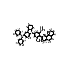 Cc1cc(-n2c3ccccc3c3cc(N(c4ccccc4)c4ccccc4)ccc32)cc(C)c1-c1ccc2ccc3cccnc3c2n1